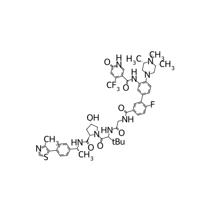 Cc1ncsc1-c1ccc([C@H](C)NC(=O)[C@H]2C[C@H](O)CN2C(=O)C(NC(=O)CNC(=O)c2ccc(F)c(-c3ccc(N4C[C@@H](C)N(C)[C@@H](C)C4)c(NC(=O)c4c[nH]c(=O)cc4C(F)(F)F)c3)c2)C(C)(C)C)cc1